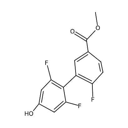 COC(=O)c1ccc(F)c(-c2c(F)cc(O)cc2F)c1